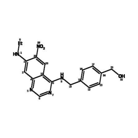 CCNc1cc2ncnc(NCc3ccc(CO)cc3)c2cc1[N+](=O)[O-]